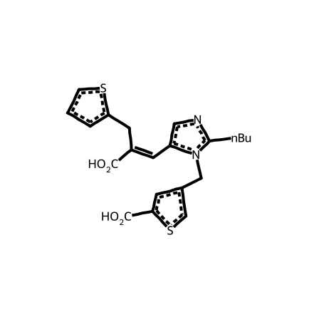 CCCCc1ncc(/C=C(\Cc2cccs2)C(=O)O)n1Cc1csc(C(=O)O)c1